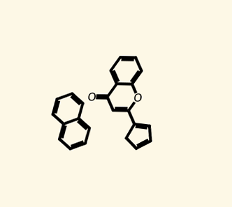 O=c1cc(C2=CC=CC2)oc2ccccc12.c1ccc2ccccc2c1